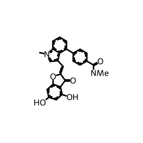 CNC(=O)c1ccc(-c2cccc3c2c(C=C2Oc4cc(O)cc(O)c4C2=O)cn3C)cc1